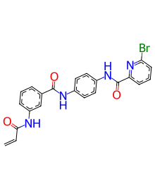 C=CC(=O)Nc1cccc(C(=O)Nc2ccc(NC(=O)c3cccc(Br)n3)cc2)c1